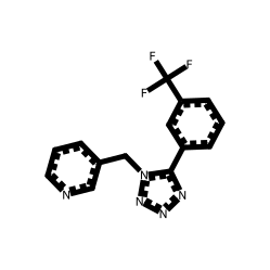 FC(F)(F)c1cccc(-c2nnnn2Cc2cccnc2)c1